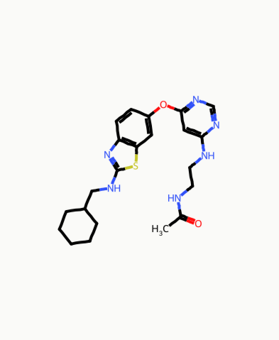 CC(=O)NCCNc1cc(Oc2ccc3nc(NCC4CCCCC4)sc3c2)ncn1